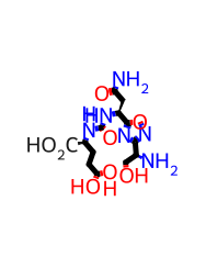 NC(=O)C[C@H](NC(=O)N[C@@H](CCC(O)O)C(=O)O)c1nc([C@@H](N)CO)no1